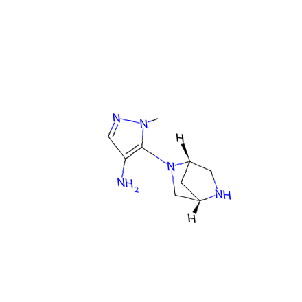 Cn1ncc(N)c1N1C[C@@H]2C[C@H]1CN2